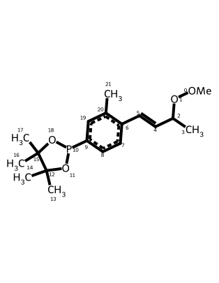 COOC(C)/C=C/c1ccc(P2OC(C)(C)C(C)(C)O2)cc1C